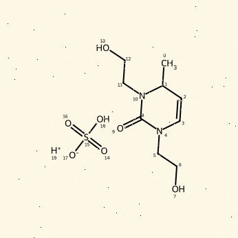 CC1C=CN(CCO)C(=O)N1CCO.O=S(=O)([O-])O.[H+]